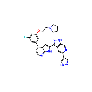 Fc1cc(OCCN2CCCC2)cc(-c2ccnc3[nH]c(-c4n[nH]c5cnc(-c6cn[nH]c6)cc45)cc23)c1